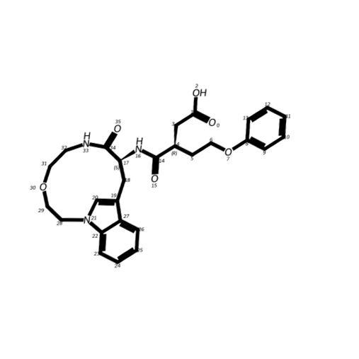 O=C(O)C[C@@H](CCOc1ccccc1)C(=O)N[C@H]1Cc2cn(c3ccccc23)CCOCCNC1=O